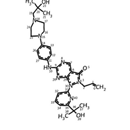 C=CCn1c(=O)c2cnc(Nc3ccc(N4CCN(CC(C)(C)O)CC4)cc3)nc2n1-c1cccc(C(C)(C)O)n1